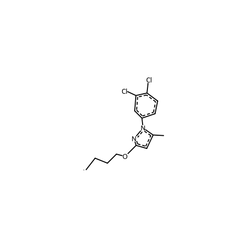 [CH2]CCCOc1cc(C)n(-c2ccc(Cl)c(Cl)c2)n1